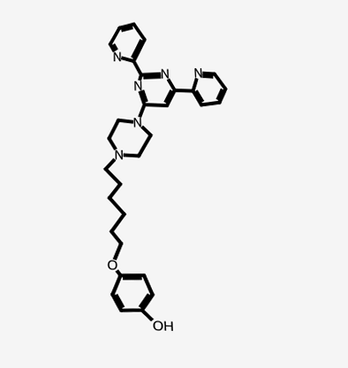 Oc1ccc(OCCCCCCN2CCN(c3cc(-c4ccccn4)nc(-c4ccccn4)n3)CC2)cc1